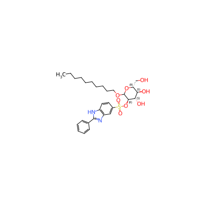 CCCCCCCCCCOC1O[C@H](CO)[C@@H](O)[C@H](O)[C@H]1OS(=O)(=O)c1ccc2[nH]c(-c3ccccc3)nc2c1